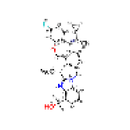 COCc1nc2c(C(C)(C)O)cccc2n1Cc1ccc2c(c1)COc1cc(F)ccc1/C2=C(/C#N)C1CC1